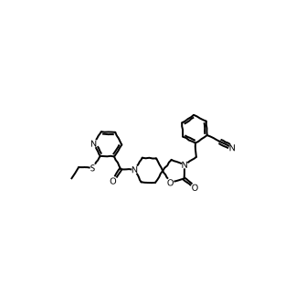 CCSc1ncccc1C(=O)N1CCC2(CC1)CN(Cc1ccccc1C#N)C(=O)O2